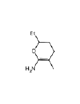 CCC1CCC(C)=C(N)O1